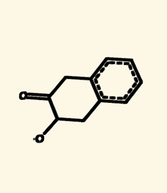 [O]C1Cc2ccccc2CC1=O